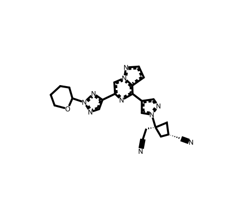 N#CC[C@]1(n2cc(-c3nc(-c4cnn(C5CCCCO5)n4)cn4nccc34)cn2)C[C@H](C#N)C1